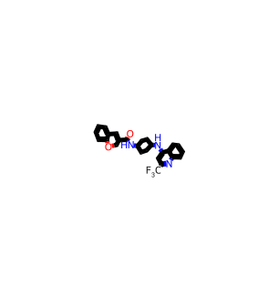 O=C(NC1CCC(Nc2cc(C(F)(F)F)nc3ccccc23)CC1)C1=Cc2ccccc2OC1